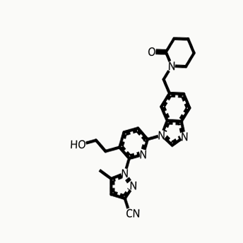 Cc1cc(C#N)nn1-c1nc(-n2cnc3ccc(CN4CCCCC4=O)cc32)ccc1CCO